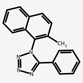 Cc1ccc2ccccc2c1-n1nnnc1-c1ccccc1